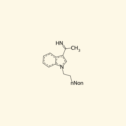 CCCCCCCCCCCn1cc(C(C)=N)c2ccccc21